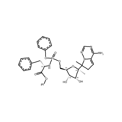 CC(C)OC(=O)[C@H](Cc1ccccc1)NP(=O)(OC[C@H]1O[C@@](C)(C2(C)CC=C3C(N)=NC=NN32)[C@H](O)[C@@H]1O)Oc1ccccc1